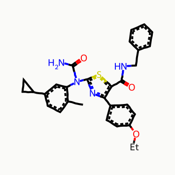 CCOc1ccc(-c2nc(N(C(N)=O)c3cc(C4CC4)ccc3C)sc2C(=O)NCc2ccccc2)cc1